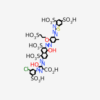 Cc1cc(N=Nc2c(S(=O)(=O)O)cc3c(S(=O)(=O)O)c(N=Nc4c(C(=O)O)nn(-c5cc(Cl)cc(S(=O)(=O)O)c5)c4O)ccc3c2O)c(OCCCS(=O)(=O)O)cc1N=Nc1nc2c(S(=O)(=O)O)cc(S(=O)(=O)O)cc2s1